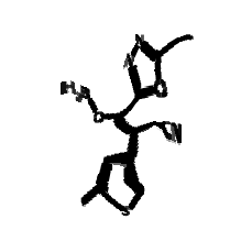 BOC(=C(C#N)c1csc(C)c1)c1nnc(C)o1